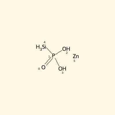 O=P(O)(O)[SiH3].[Zn]